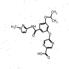 CC(C)Oc1cc(Oc2cnc(C(=O)O)cn2)cc(C(=O)Nc2ccn(C)n2)c1